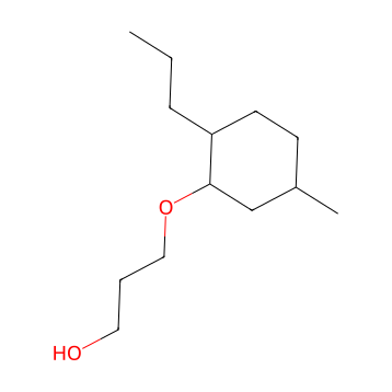 CCCC1CCC(C)CC1OCCCO